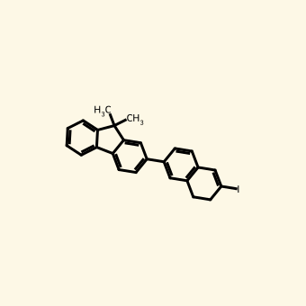 CC1(C)c2ccccc2-c2ccc(-c3ccc4c(c3)CCC(I)=C4)cc21